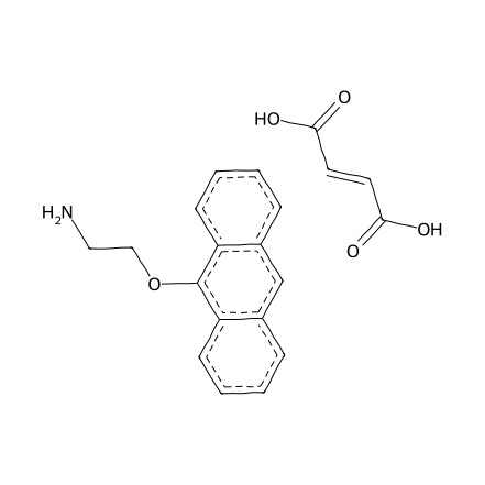 NCCOc1c2ccccc2cc2ccccc12.O=C(O)C=CC(=O)O